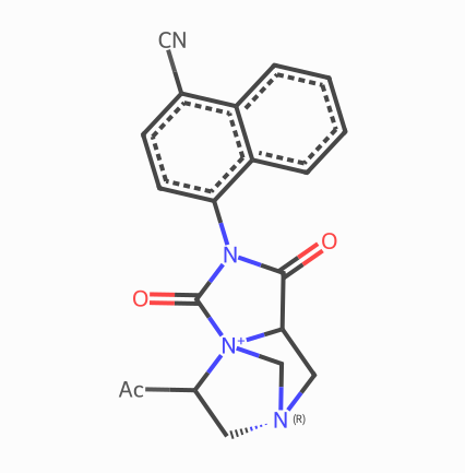 CC(=O)C1C[N@@]2CC3C(=O)N(c4ccc(C#N)c5ccccc45)C(=O)[N+]13C2